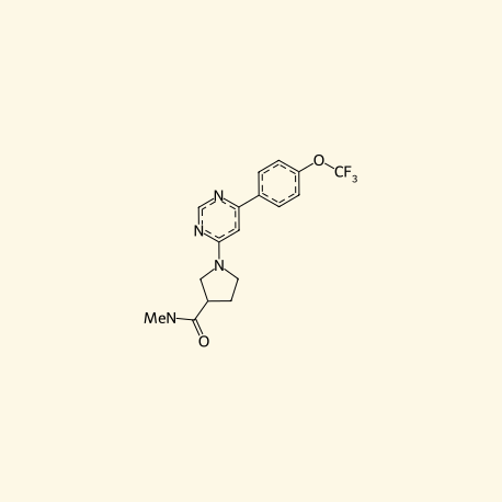 CNC(=O)C1CCN(c2cc(-c3ccc(OC(F)(F)F)cc3)ncn2)C1